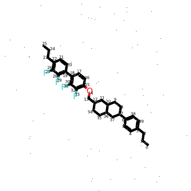 CCCc1ccc(C2CCC3CC(COc4ccc(-c5ccc(CCC)c(F)c5F)c(F)c4F)CCC3C2)cc1